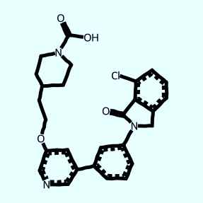 O=C(O)N1CCC(CCOc2cncc(-c3cccc(N4Cc5cccc(Cl)c5C4=O)c3)c2)CC1